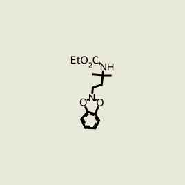 CCOC(=O)NC(C)(C)CCN1Oc2ccccc2O1